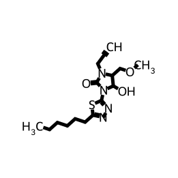 C#CCN1C(=O)N(c2nnc(CCCCCC)s2)C(O)C1COC